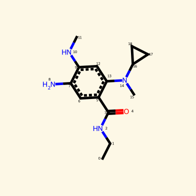 CCNC(=O)c1cc(N)c(NC)cc1N(C)C1CC1